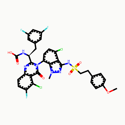 COc1ccc(CCS(=O)(=O)Nc2nn(C)c3c(-n4c([C@H](Cc5cc(F)cc(F)c5)NC(=O)O)nc5ccc(F)c(Cl)c5c4=O)ccc(Cl)c23)cc1